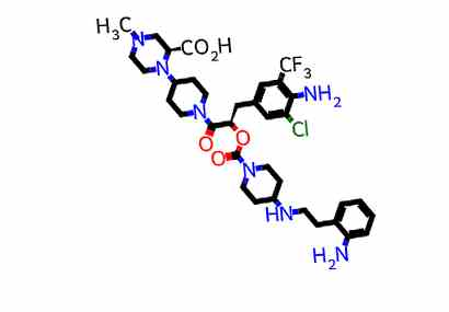 CN1CCN(C2CCN(C(=O)[C@@H](Cc3cc(Cl)c(N)c(C(F)(F)F)c3)OC(=O)N3CCC(NCCc4ccccc4N)CC3)CC2)[C@H](C(=O)O)C1